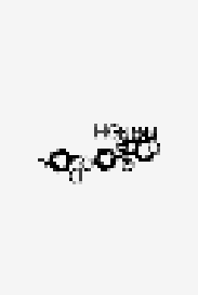 CC1(C)OCCC(S(=O)(=O)c2ccc(OCc3ccc(F)cc3Cl)cc2)C1(O)C(=O)NO